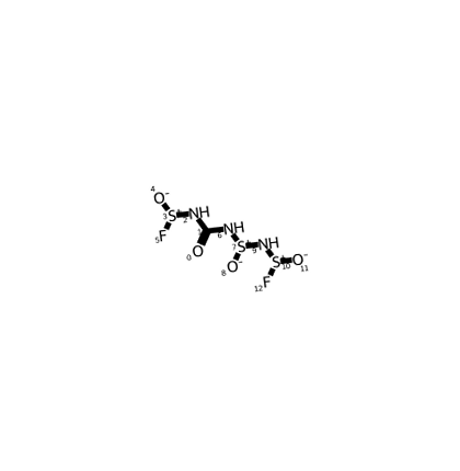 O=C(N[S+]([O-])F)N[S+]([O-])N[S+]([O-])F